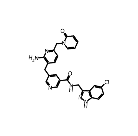 Nc1nc(Cn2ccccc2=O)ccc1Cc1cncc(C(=O)NCc2n[nH]c3ccc(Cl)cc23)c1